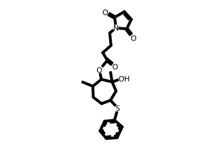 CC1CCC(Sc2ccccc2)CC(C)(O)C1OC(=O)CCCN1C(=O)C=CC1=O